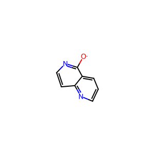 [O]c1nccc2ncccc12